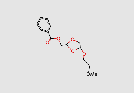 COCCOC1COC(COC(=O)c2ccccc2)O1